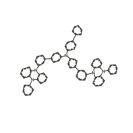 c1ccc(-c2ccc(N(c3ccc(-c4cccc(N5c6ccccc6N(c6ccccc6)c6ccccc65)c4)cc3)c3ccc(-c4cccc(N5c6ccccc6N(c6ccccc6)c6ccccc65)c4)cc3)cc2)cc1